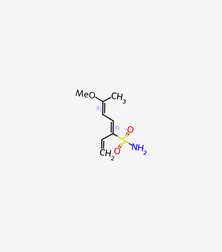 C=C/C(=C\C=C(/C)OC)S(N)(=O)=O